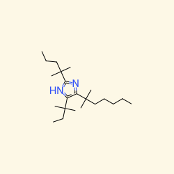 CCCCCC(C)(C)c1nc(C(C)(C)CCC)[nH]c1C(C)(C)CC